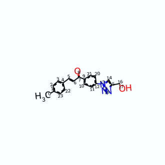 Cc1ccc(C=CC(=O)c2ccc(-n3cc(CO)nn3)cc2)cc1